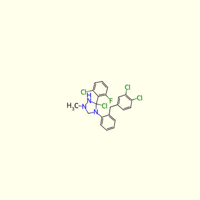 CN1CN(c2ccccc2Cc2ccc(Cl)c(Cl)c2)C(Cl)(c2c(F)cccc2Cl)N1